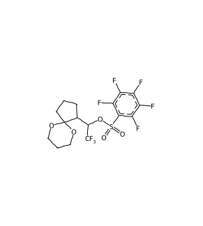 O=S(=O)(OC(C1CCCC12OCCCO2)C(F)(F)F)c1c(F)c(F)c(F)c(F)c1F